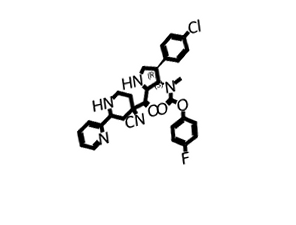 CN(C(=O)Oc1ccc(F)cc1)[C@@H]1C(C(=O)C2(C#N)CCNC(c3ccccn3)C2)NC[C@H]1c1ccc(Cl)cc1